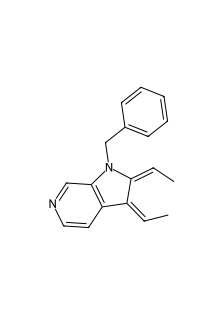 C/C=c1\c(=C/C)n(Cc2ccccc2)c2cnccc12